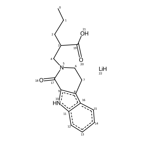 CCCC(CN1CCc2c([nH]c3ccccc23)C1=O)C(=O)O.[LiH]